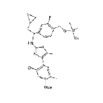 COc1cc(Cl)c(-c2nc(NC(CC3CC3)c3ccc(CO[Si](C)(C)C(C)(C)C)c(F)c3)sc2C)cc1C